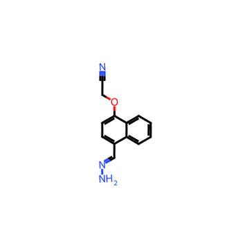 N#CCOc1ccc(C=NN)c2ccccc12